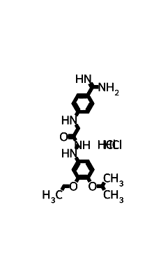 CCOc1cc(NNC(=O)CNc2ccc(C(=N)N)cc2)ccc1OC(C)C.Cl.Cl